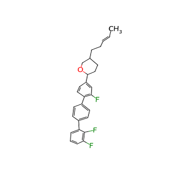 C/C=C/CCC1CCC(c2ccc(-c3ccc(-c4cccc(F)c4F)cc3)c(F)c2)OC1